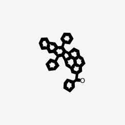 O=C(c1ccccc1)c1cc2ccc3ccc4c5c(cc(c1)c2c35)-c1c-4c(-c2ccccc2)c2cc3ccccc3cc2c1-c1ccccc1